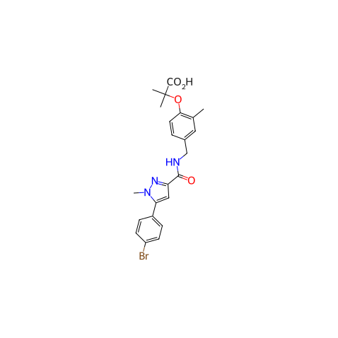 Cc1cc(CNC(=O)c2cc(-c3ccc(Br)cc3)n(C)n2)ccc1OC(C)(C)C(=O)O